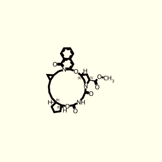 COC(=O)[C@@H]1C[C@@H]2CN1C(=O)CNC(=O)O[C@@H]1CCC[C@H]1CCCC1CC1Cn1c(cc3ccccc3c1=O)O2